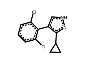 Clc1cccc(Cl)c1-c1c[nH]nc1C1CC1